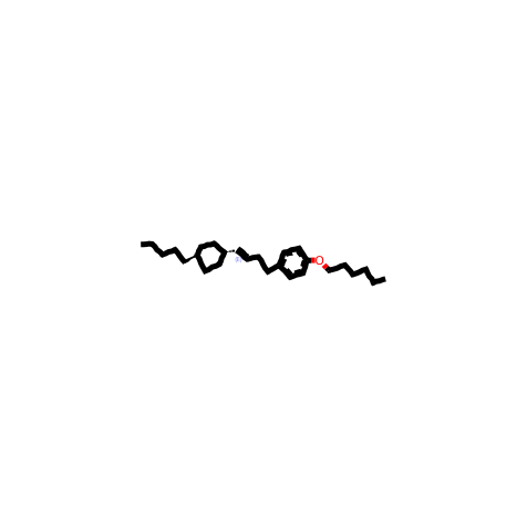 CCCCCCOc1ccc(CC/C=C/[C@H]2CC[C@H](CCCCC)CC2)cc1